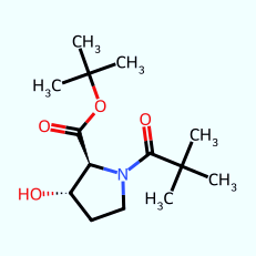 CC(C)(C)OC(=O)[C@@H]1[C@@H](O)CCN1C(=O)C(C)(C)C